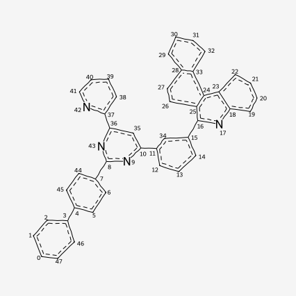 c1ccc(-c2ccc(-c3nc(-c4cccc(-c5nc6ccccc6c6c5ccc5ccccc56)c4)cc(-c4ccccn4)n3)cc2)cc1